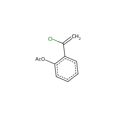 C=C(Cl)c1ccccc1OC(C)=O